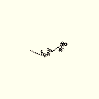 CCCCCCCCCC[C@H](C[C@H]1CC[C@H]([C@H]2CC[C@H](C[C@@H](CCCCCCCC[C@@H](CC3=C[C@@H](C)OC3=O)OS(=O)(=O)c3ccc(C)cc3)OCOC)O2)O1)OCOC